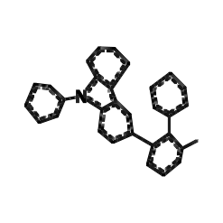 Cc1cccc(-c2ccc3c(c2)c2ccccc2n3-c2ccccc2)c1-c1ccccc1